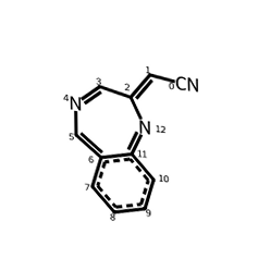 N#C/C=C1/C=NC=c2ccccc2=N1